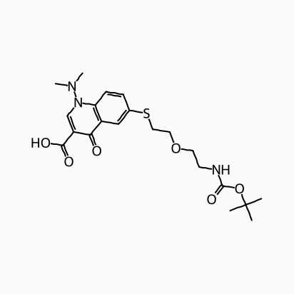 CN(C)n1cc(C(=O)O)c(=O)c2cc(SCCOCCNC(=O)OC(C)(C)C)ccc21